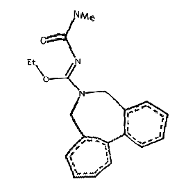 CCOC(=NC(=O)NC)N1Cc2ccccc2-c2ccccc2C1